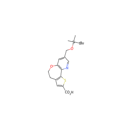 CC(C)(C)[Si](C)(C)OCc1cnc2c(c1)OCCc1cc(C(=O)O)sc1-2